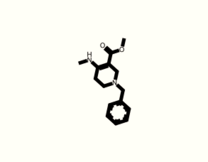 CNC1=C(C(=O)OC)CN(Cc2ccccc2)CC1